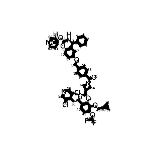 O=C(N[C@@H](c1ccccc1)c1cccc(OCc2ccc(C(=O)N3CC(C(=O)O[C@@H](Cc4c(Cl)cncc4Cl)c4ccc(OC(F)F)c(OCC5CC5)c4)C3)cc2)c1)O[C@H]1CN2CCC1CC2